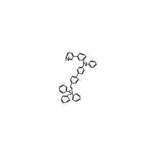 C(=C\[Si](c1ccccc1)(c1ccccc1)c1ccccc1)/c1ccc(-c2ccc(N(c3ccccc3)c3cccc(-c4cccnc4)c3)cc2)cc1